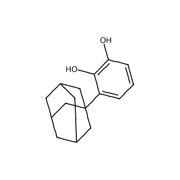 Oc1cccc(C23CC4CC(CC(C4)C2)C3)c1O